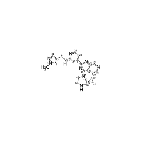 Cn1cc(CNc2cc(-c3nc(N4CCNCC4)c4c(C5CC5)cncc4n3)ccn2)cn1